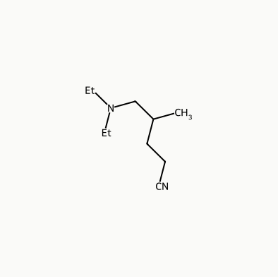 CCN(CC)CC(C)CCC#N